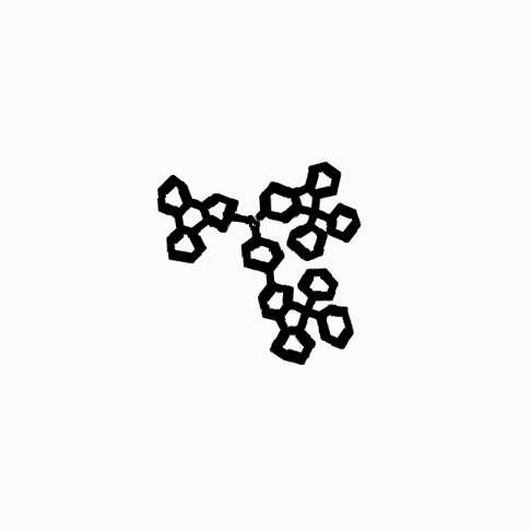 c1ccc(C2(c3ccccc3)c3ccccc3-c3ccc(-c4ccc(N(c5ccc6c(c5)C(c5ccccc5)(c5ccccc5)c5ccccc5-6)c5ccc6c7ccccc7c7ccccc7c6c5)cc4)cc32)cc1